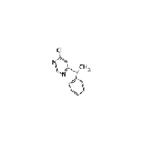 CC(c1ccccc1)c1cc(Cl)ncn1